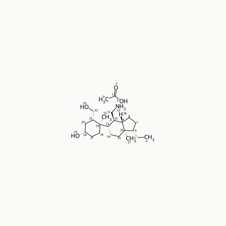 CC(=O)O.CC[C@H]1CC[C@H]2[C@H](CN)[C@@H]([C@@]3(C)CC[C@H](O)C[C@@H]3CO)CC[C@]12C